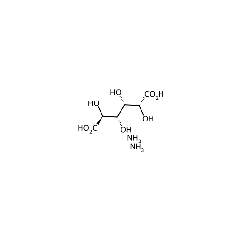 N.N.O=C(O)[C@@H](O)[C@@H](O)[C@H](O)[C@@H](O)C(=O)O